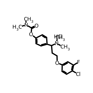 CN(C)C(=O)Oc1ccc(C(CCOc2ccc(Cl)c(F)c2)N(C)C)cc1.Cl